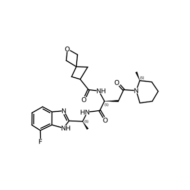 C[C@H](NC(=O)[C@H](CC(=O)N1CCCC[C@@H]1C)NC(=O)C1CC2(COC2)C1)c1nc2cccc(F)c2[nH]1